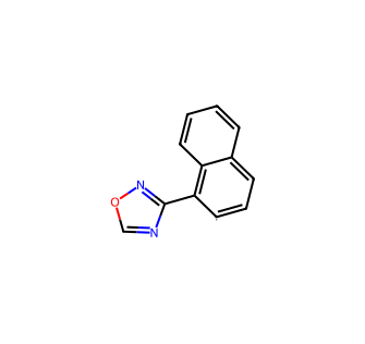 [c]1ccc2ccccc2c1-c1ncon1